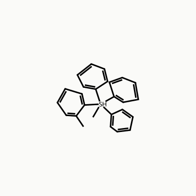 Cc1ccccc1[SH](C)(c1ccccc1)(c1ccccc1)c1ccccc1